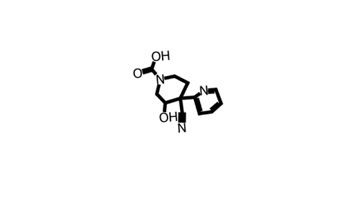 N#CC1(c2ccccn2)CCN(C(=O)O)CC1O